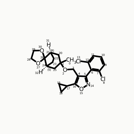 CC1(OCc2c(-c3c(Cl)cccc3Cl)noc2C2CC2)C[C@H]2CC[C@@H](C1)C21OCCO1